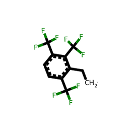 [CH2]Cc1c(C(F)(F)F)ccc(C(F)(F)F)c1C(F)(F)F